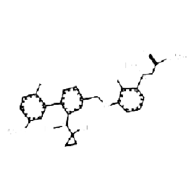 COC(=O)C[C@@H](O)c1cccc(OCc2ccc(-c3cc(OC)ccc3F)c([C@H](O)C3(C)CC3)c2)c1F